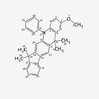 COc1ccc2c(c1)C(C)(C)c1cc3c(cc1N2c1ccccc1)C(C)(C)c1ccccc1-3